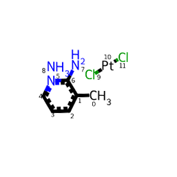 Cc1cccnc1N.N.[Cl][Pt][Cl]